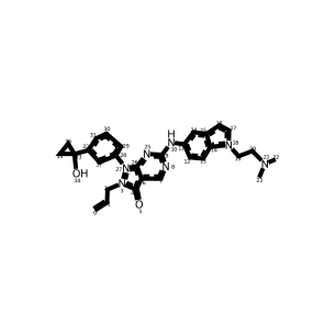 C=CCn1c(=O)c2cnc(Nc3ccc4c(ccn4CCN(C)C)c3)nc2n1-c1cccc(C2(O)CC2)c1